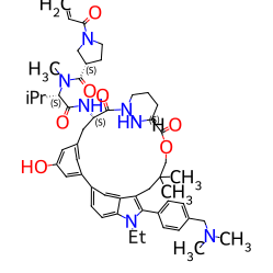 C=CC(=O)N1CC[C@H](C(=O)N(C)[C@H](C(=O)N[C@H]2Cc3cc(O)cc(c3)-c3ccc4c(c3)c(c(-c3ccc(CN(C)C)cc3)n4CC)CC(C)(C)COC(=O)[C@@H]3CCCN(N3)C2=O)C(C)C)C1